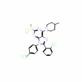 CC1CCN(c2nc([S+](C)[O-])nc3c2nc(-c2ccccc2Cl)n3-c2ccc(Cl)cc2)CC1